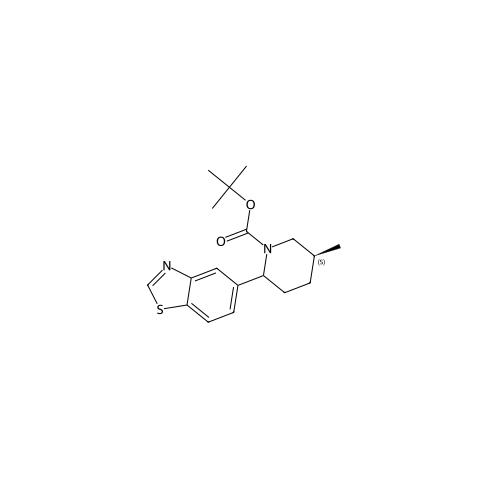 C[C@H]1CCC(c2ccc3scnc3c2)N(C(=O)OC(C)(C)C)C1